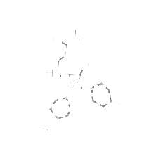 COC(=O)C=C(C)NC1C(=O)N(c2ccc(C)cc2)C1c1ccc(OC)cc1